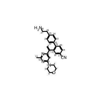 C=C(c1cc(N2CCOCC2)nc(C)n1)c1cc(C#N)ccc1-c1ccc(CCN)cc1